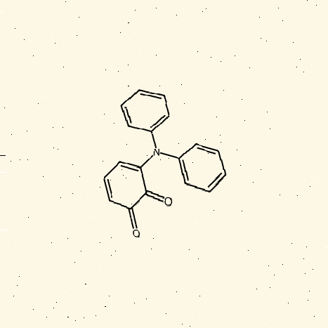 O=C1C=CC=C(N(c2ccccc2)c2ccccc2)C1=O